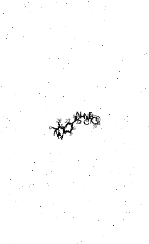 Cc1nnc2ccc(-c3cnc(NC(=O)C4(F)CCCOC4)s3)cc2c1C